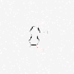 Cc1cc2ccc(O)c(C)c2cc1O